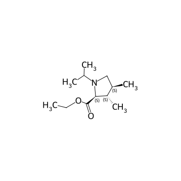 CCOC(=O)[C@@H]1[C@@H](C)[C@H](C)CN1C(C)C